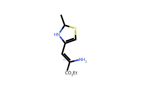 CCOC(=O)/C(N)=C/C1=CSC(C)N1